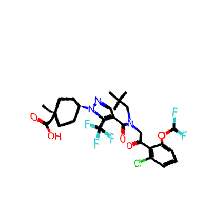 CC(C)(C)CN(CC(=O)c1c(Cl)cccc1OC(F)F)C(=O)c1cnn([C@H]2CC[C@](C)(C(=O)O)CC2)c1C(F)(F)F